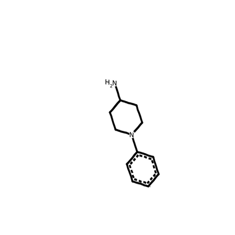 NC1CCN(c2cc[c]cc2)CC1